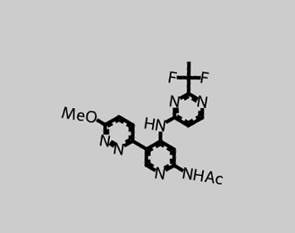 COc1ccc(-c2cnc(NC(C)=O)cc2Nc2ccnc(C(C)(F)F)n2)nn1